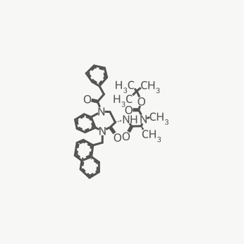 C[C@@H](C(=O)N[C@H]1CN(C(=O)Cc2ccccc2)c2ccccc2N(Cc2cccc3ccccc23)C1=O)N(C)C(=O)OC(C)(C)C